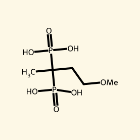 COCCC(C)(P(=O)(O)O)P(=O)(O)O